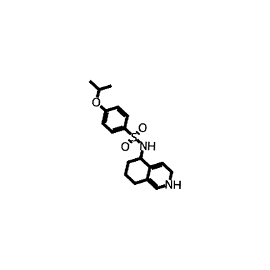 CC(C)Oc1ccc(S(=O)(=O)NC2CCCC3=CNCC=C32)cc1